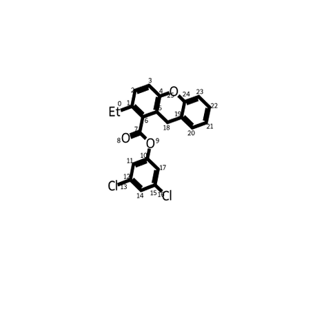 CCc1ccc2c(c1C(=O)Oc1cc(Cl)cc(Cl)c1)Cc1ccccc1O2